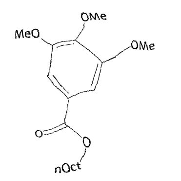 CCCCCCCCOC(=O)c1cc(OC)c(OC)c(OC)c1